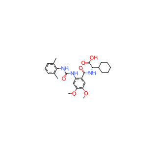 COc1cc(NC(=O)Nc2c(C)cccc2C)c(C(=O)N[C@H](C(=O)O)C2CCCCC2)cc1OC